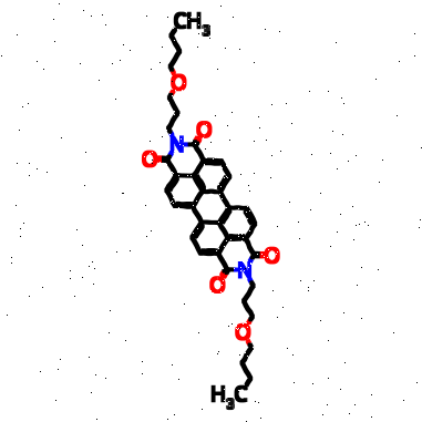 CCCCOCCCN1C(=O)c2ccc3c4ccc5c6c(ccc(c7ccc(c2c37)C1=O)c64)C(=O)N(CCCOCCCC)C5=O